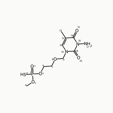 COP(=O)(S)OCCOCn1cc(C)c(=O)n(N)c1=O